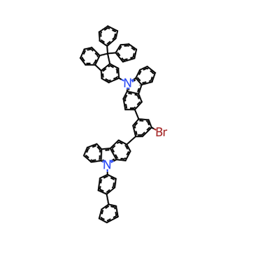 Brc1cc(-c2ccc3c(c2)c2ccccc2n3-c2ccc(-c3ccccc3)cc2)cc(-c2ccc3c(c2)c2ccccc2n3-c2ccc3c(c2)C(c2ccccc2)(c2ccccc2)c2ccccc2-3)c1